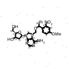 COc1ccc(C(OCN2CN([C@H]3CC(O)[C@@H](CO)O3)c3ncnc(N)c32)C(C)C)c([N+](=O)[O-])c1